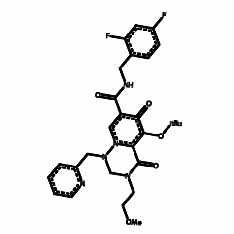 CCCCOc1c2n(cc(C(=O)NCc3ccc(F)cc3F)c1=O)N(Cc1ccccn1)CN(CCOC)C2=O